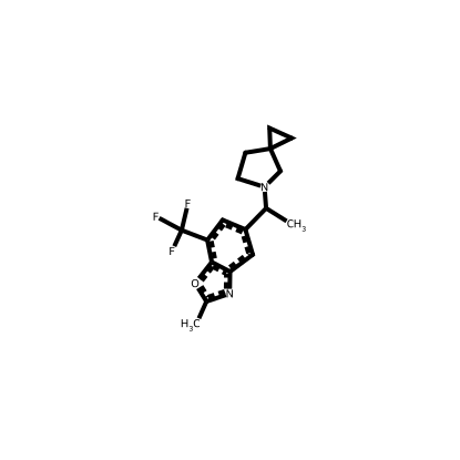 Cc1nc2cc(C(C)N3CCC4(CC4)C3)cc(C(F)(F)F)c2o1